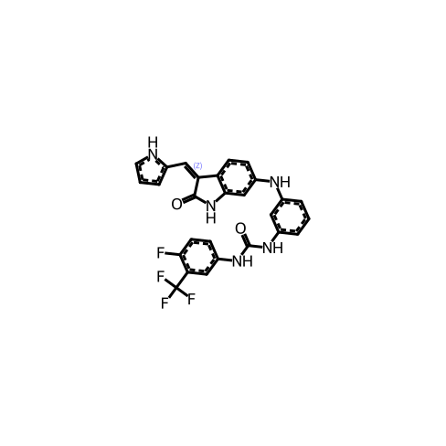 O=C(Nc1cccc(Nc2ccc3c(c2)NC(=O)/C3=C\c2ccc[nH]2)c1)Nc1ccc(F)c(C(F)(F)F)c1